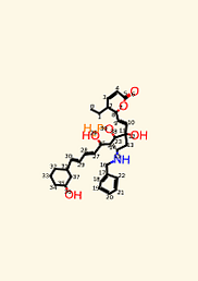 CCC1C=CC(=O)OC1C=CC(O)(CCNCc1ccccc1)C(CC(O)C=CC=CC1CCCC(O)C1)OP